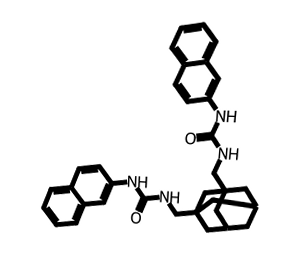 O=C(NCC12CC3CC(C1)CC(CNC(=O)Nc1ccc4ccccc4c1)(C3)C2)Nc1ccc2ccccc2c1